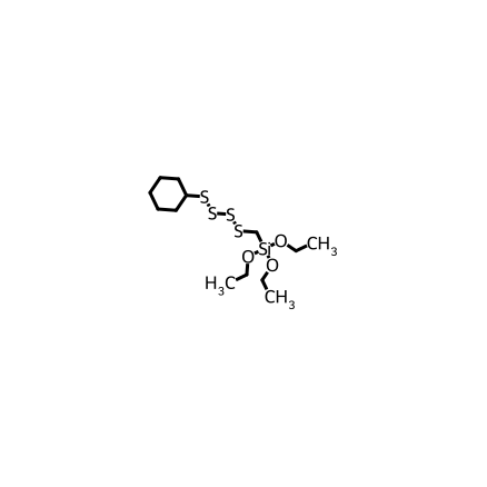 CCO[Si](CSSSSC1CCCCC1)(OCC)OCC